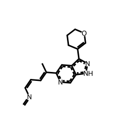 C=N/C=C\C=C(/C)c1cc2c(C3=COCCC3)n[nH]c2cn1